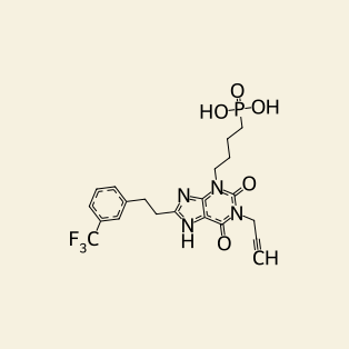 C#CCn1c(=O)c2[nH]c(CCc3cccc(C(F)(F)F)c3)nc2n(CCCCP(=O)(O)O)c1=O